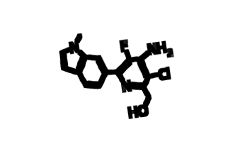 Cn1ccc2ccc(-c3nc(CO)c(Cl)c(N)c3F)cc21